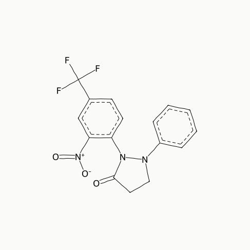 O=C1CCN(c2ccccc2)N1c1ccc(C(F)(F)F)cc1[N+](=O)[O-]